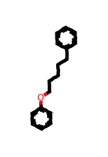 [c]1ccccc1OCCCCCc1ccccc1